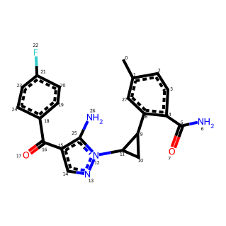 Cc1ccc(C(N)=O)c(C2CC2n2ncc(C(=O)c3ccc(F)cc3)c2N)c1